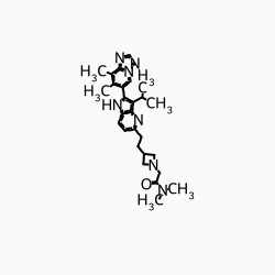 Cc1c(-c2[nH]c3ccc(CCC4CN(CC(=O)N(C)C)C4)nc3c2C(C)C)cn2ncnc2c1C